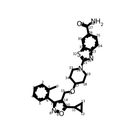 Cc1ccccc1-c1noc(C2CC2)c1COC1CCN(c2nc3ccc(C(N)=O)cc3s2)CC1